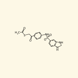 CC(=O)SCC(=O)c1ccc(NS(=O)(=O)c2ccc3c(c2)NCN3)cc1